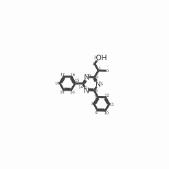 CC(CO)c1nc(-c2ccccc2)nc(-c2ccccc2)n1